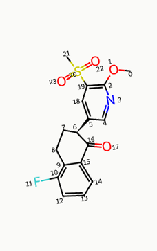 COc1ncc([C@@H]2CCc3c(F)cccc3C2=O)cc1S(C)(=O)=O